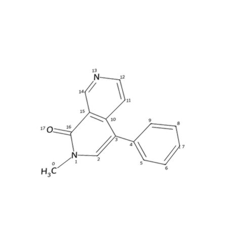 Cn1cc(-c2cc[c]cc2)c2ccncc2c1=O